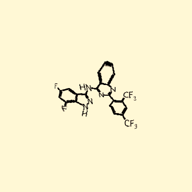 Fc1cc(F)c2[nH]nc(Nc3nc(-c4ccc(C(F)(F)F)cc4C(F)(F)F)nc4ccccc34)c2c1